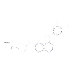 C=CC(=O)N1CCC(N(C)c2ccc3ncnc(Nc4ccc(Cl)c(Cl)c4F)c3n2)C1